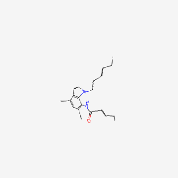 CCCCCCN1CCc2c(C)cc(C)c(NC(=O)CCCC)c21